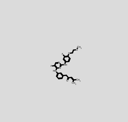 COCCOc1ccc(Nc2ncc(F)c(Nc3cccc(CC(=O)C=C(C)C)c3)n2)cc1F